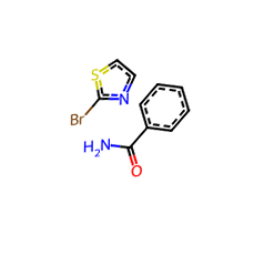 Brc1nccs1.NC(=O)c1ccccc1